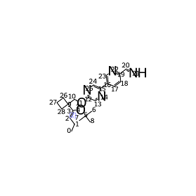 CC/C=C(\OC(C)(C)C)C1(COc2cnc(-c3ccc(C=N)nc3)cn2)CCC1